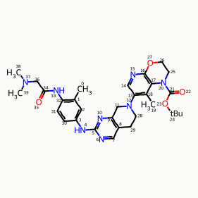 Cc1cc(Nc2ncc3c(n2)CN(c2cnc4c(c2C)N(C(=O)OC(C)(C)C)CCO4)CC3)ccc1NC(=O)CN(C)C